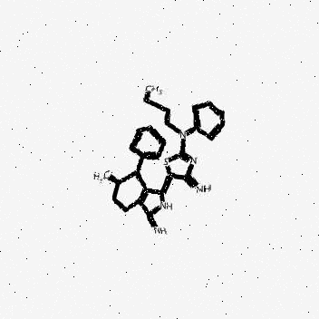 CCCCN(C1=NC(=N)C(=C2NC(=N)C3=C2C(c2ccccc2)C(C)CC3)S1)c1ccccc1